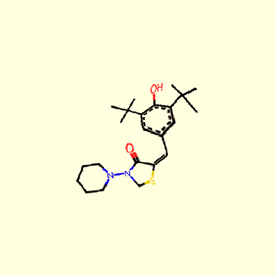 CC(C)(C)c1cc(C=C2SCN(N3CCCCC3)C2=O)cc(C(C)(C)C)c1O